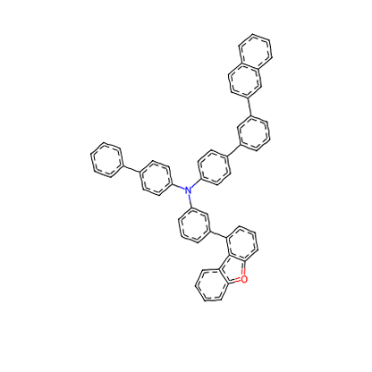 c1ccc(-c2ccc(N(c3ccc(-c4cccc(-c5ccc6ccccc6c5)c4)cc3)c3cccc(-c4cccc5oc6ccccc6c45)c3)cc2)cc1